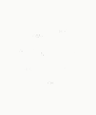 C/C=C\C1CC(C)C(C)N(C(=O)OC)C1